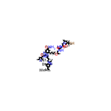 C=C(CNC(=O)CNC(=O)CN1C(=C)CC(C(C)(C)S)C1=O)OCCCCc1cc(C(N)=O)cc2nc(NC(=O)C3=C(CC)N=C(C)C3)n(C/C=C/Cn3c(C)nc4cc(C(=C)NC)cc(CC)c43)c12